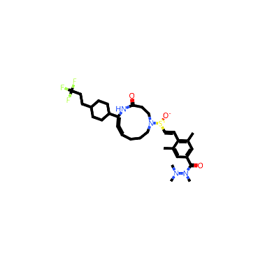 Cc1cc(C(=O)N(C)N(C)C)cc(C)c1/C=C/[S+]([O-])N1CCCC=C=C(C2CCC(CCC(F)(F)F)CC2)NC(=O)CC1